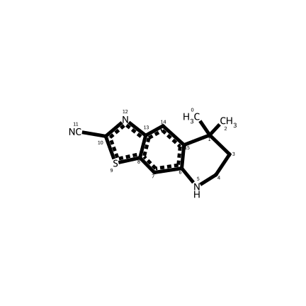 CC1(C)CCNc2cc3sc(C#N)nc3cc21